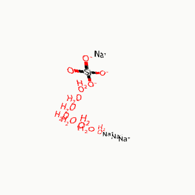 O.O.O.O.O.O.O.O.[Na+].[Na+].[Na+].[Na+].[O-][Si]([O-])([O-])[O-]